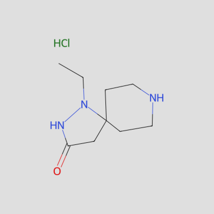 CCN1NC(=O)CC12CCNCC2.Cl